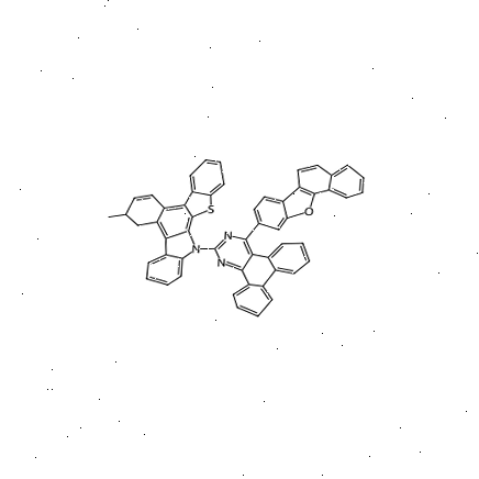 CC1C=Cc2c(c3c4ccccc4n(-c4nc(-c5ccc6c(c5)oc5c7ccccc7ccc65)c5c6ccccc6c6ccccc6c5n4)c3c3sc4ccccc4c23)C1